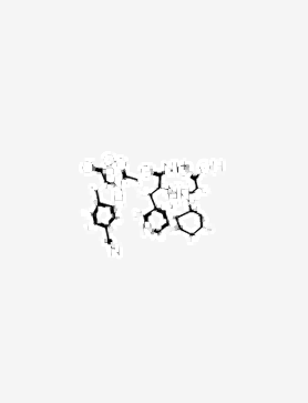 CC(=O)N[C@@H](Cc1ccc(C#N)cc1)C(=O)O.NC(=O)[C@@H](N)Cc1cccnc1.O=C(O)CNC1CCCCC1